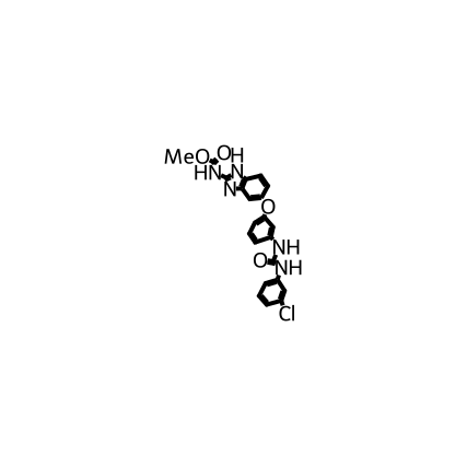 COC(=O)Nc1nc2cc(Oc3cccc(NC(=O)Nc4cccc(Cl)c4)c3)ccc2[nH]1